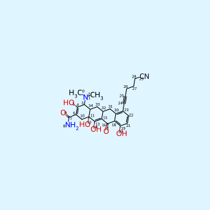 CN(C)C1C(O)=C(C(N)=O)CC2(O)C(O)=C3C(=O)c4c(O)ccc(C#CCCCC#N)c4CC3CC12